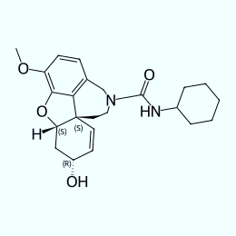 COc1ccc2c3c1O[C@H]1C[C@@H](O)C=C[C@@]31CCN(C(=O)NC1CCCCC1)C2